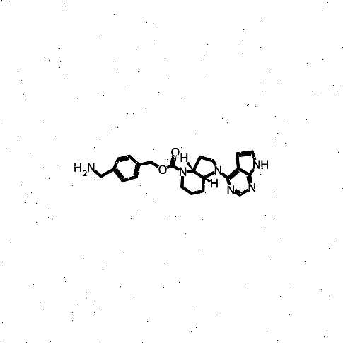 NCc1ccc(COC(=O)N2CCC[C@@H]3[C@H]2CCN3c2ncnc3[nH]ccc23)cc1